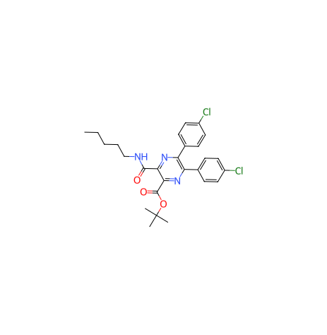 CCCCCNC(=O)c1nc(-c2ccc(Cl)cc2)c(-c2ccc(Cl)cc2)nc1C(=O)OC(C)(C)C